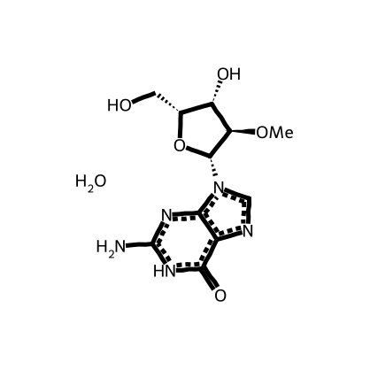 CO[C@@H]1[C@@H](O)[C@@H](CO)O[C@H]1n1cnc2c(=O)[nH]c(N)nc21.O